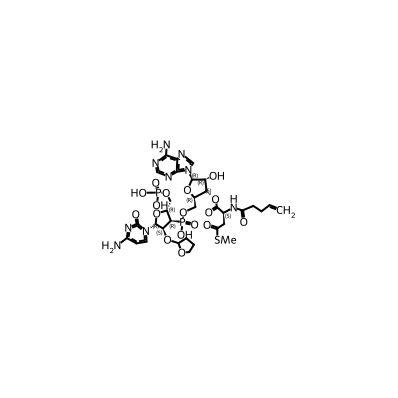 C=CCCC(=O)N[C@@H](CC(=O)SC)C(=O)O[C@H]1[C@@H](O)[C@H](n2cnc3c(N)ncnc32)O[C@@H]1COP(=O)(O)[C@H]1[C@@H](OC2CCCO2)[C@H](n2ccc(N)nc2=O)O[C@@H]1COP(=O)(O)O